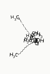 CCCCCCCCCCCCCCCCCCOc1c(C(C)(C)C)cc(CP(=O)(O)OCCCCCCCCCCCCCCCCCC)cc1C(C)(C)C